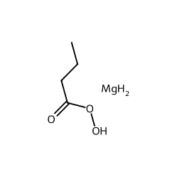 CCCC(=O)OO.[MgH2]